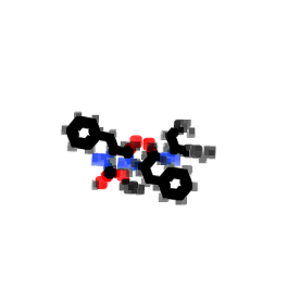 CC(C)(C)OC(=O)NC(Cc1ccccc1)C(=O)NC(Cc1ccccc1)C(=O)NC(CC(F)(F)F)C(=O)O